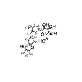 OC[C@H]1O[C@@H](c2ccc(Cl)c(Cc3ccc(OC4CCC[C@@H]4O)cc3)c2)[C@H](O)[C@@H](O)[C@@H]1O